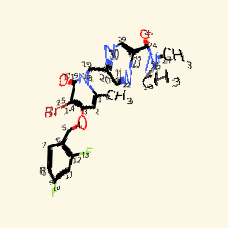 Cc1cc(OCc2ccc(F)cc2F)c(Br)c(=O)n1Cc1cnc(C(=O)N(C)C)cn1